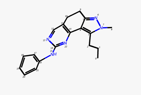 CCCc1c2c(nn1C)CCc1cnc(Nc3ccccc3)nc1-2